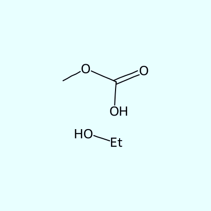 CCO.COC(=O)O